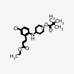 CCOC(=O)C=Cc1cc(Cl)ccc1NC1CCN(OC(=O)C(C)(C)C)CC1